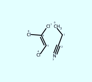 CCC#N.ClC=C(Cl)Cl